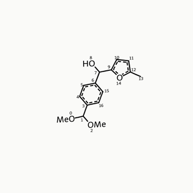 COC(OC)c1ccc(C(O)c2ccc(C)o2)cc1